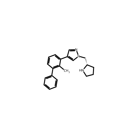 Cc1c(-c2ccccc2)cccc1-c1cnn(C[C@@H]2CCCN2)c1